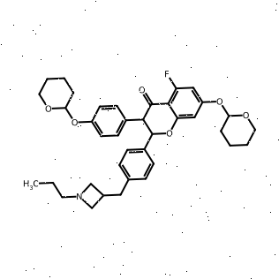 CCCN1CC(Cc2ccc(C3Oc4cc(OC5CCCCO5)cc(F)c4C(=O)C3c3ccc(OC4CCCCO4)cc3)cc2)C1